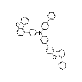 c1ccc(-c2ccc(N(c3ccc(-c4ccc5oc6c(-c7ccccc7)cccc6c5c4)cc3)c3ccc(-c4cccc5oc6ccccc6c45)cc3)cc2)cc1